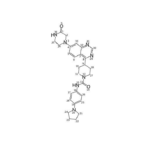 O=C1CN(c2ccc3c(C4CCN(C(=O)Nc5ccc(N6CCCC6)cc5)CC4)ncnc3c2)CCN1